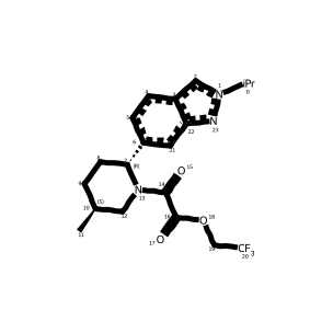 CC(C)n1cc2ccc([C@H]3CC[C@H](C)CN3C(=O)C(=O)OCC(F)(F)F)cc2n1